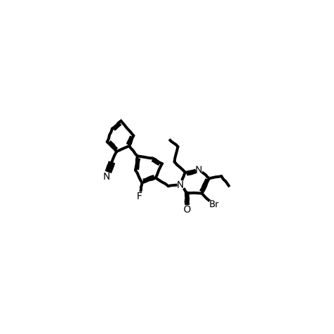 CCCc1nc(CC)c(Br)c(=O)n1Cc1ccc(-c2ccccc2C#N)cc1F